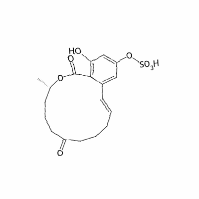 C[C@H]1CCCC(=O)CCC/C=C/c2cc(OS(=O)(=O)O)cc(O)c2C(=O)O1